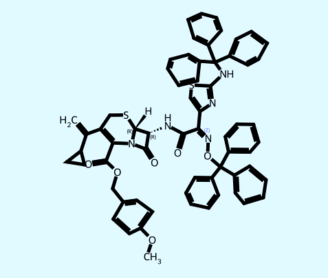 C=C(C1=C(C(=O)OCc2ccc(OC)cc2)N2C(=O)[C@@H](NC(=O)/C(=N\OC(c3ccccc3)(c3ccccc3)c3ccccc3)c3csc(NC(c4ccccc4)(c4ccccc4)c4ccccc4)n3)[C@H]2SC1)C1CC1